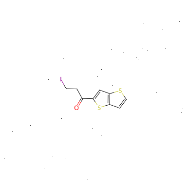 O=C(CCI)c1cc2sccc2s1